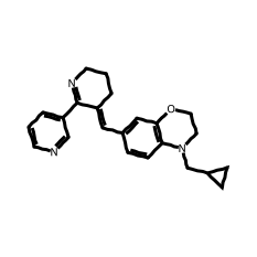 C(=C1CCCN=C1c1cccnc1)c1ccc2c(c1)OCCN2CC1CC1